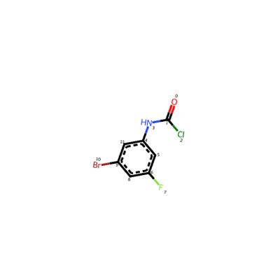 O=C(Cl)Nc1cc(F)cc(Br)c1